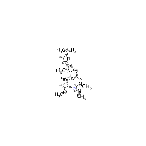 C=N/C=C\N(C)Cc1nc(NC2CC(OC)C2)c2c(C)c(-c3ccn(C(C)C)n3)sc2n1